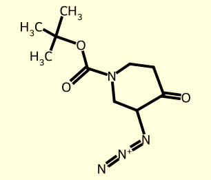 CC(C)(C)OC(=O)N1CCC(=O)C(N=[N+]=[N-])C1